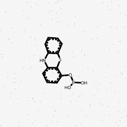 OB(O)Oc1cccc2c1Sc1ccccc1N2